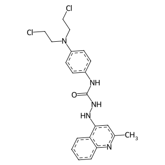 Cc1cc(NNC(=O)Nc2ccc(N(CCCl)CCCl)cc2)c2ccccc2n1